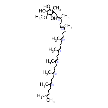 COc1c(O)c(O)c(C)c(C/C=C(\C)CC/C=C(\C)CC/C=C(\C)CC/C=C(\C)CC/C=C(\C)CC/C=C(\C)CC/C=C(\C)CCC=C(C)C)c1O